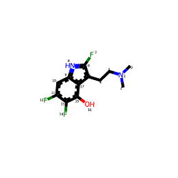 CN(C)CCc1c(F)[nH]c2cc(F)c(F)c(O)c12